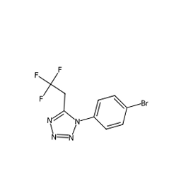 FC(F)(F)Cc1nnnn1-c1ccc(Br)cc1